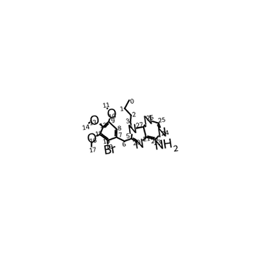 CCCCn1c(Cc2cc(OC)c(OC)c(OC)c2Br)nc2c(N)ncnc21